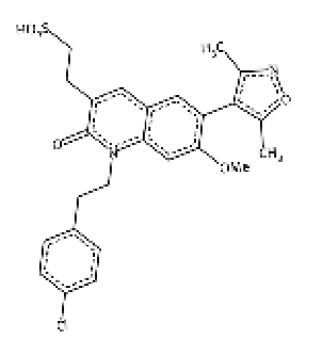 COc1cc2c(cc1-c1c(C)noc1C)cc(CCS(=O)(=O)O)c(=O)n2CCc1ccc(Cl)cc1